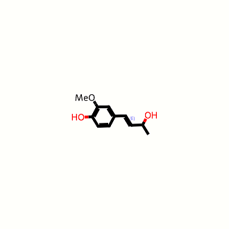 COc1cc(/C=C/C(C)O)ccc1O